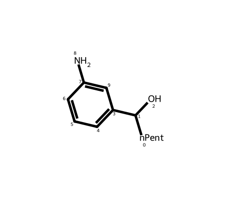 CCCCCC(O)c1cccc(N)c1